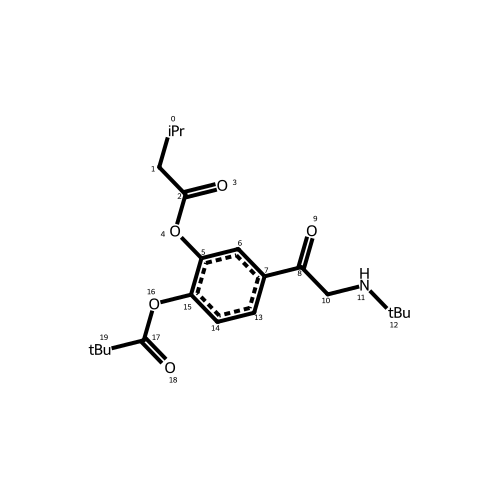 CC(C)CC(=O)Oc1cc(C(=O)CNC(C)(C)C)ccc1OC(=O)C(C)(C)C